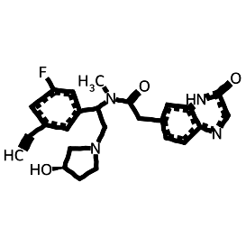 C#Cc1cc(F)cc(C(CN2CC[C@@H](O)C2)N(C)C(=O)Cc2ccc3ncc(=O)[nH]c3c2)c1